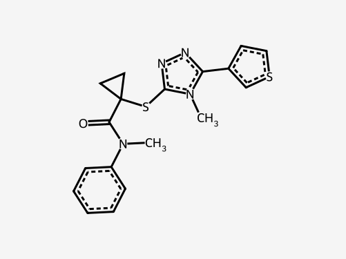 CN(C(=O)C1(Sc2nnc(-c3ccsc3)n2C)CC1)c1ccccc1